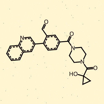 O=Cc1cc(C(=O)N2CCN(C(=O)C3(O)CC3)CC2)ccc1-c1cnc2ccccc2c1